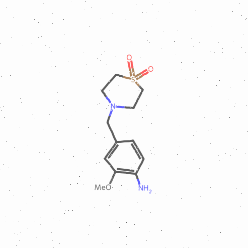 COc1cc(CN2CCS(=O)(=O)CC2)ccc1N